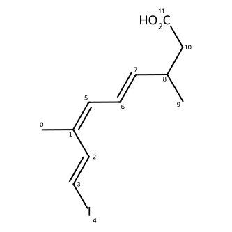 CC(C=CI)=CC=CC(C)CC(=O)O